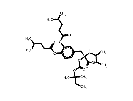 CCC(C)N[C@@](Cc1ccc(OC(=O)CCC(C)C)c(OC(=O)CCC(C)C)c1)(OC(=O)OC(C)(C)CC)C(=O)O